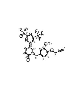 C#CCOc1ccc(Cn2cc(-c3cc(C(F)(F)F)nc(S(C)(=O)=O)n3)ccc2=O)cc1OC